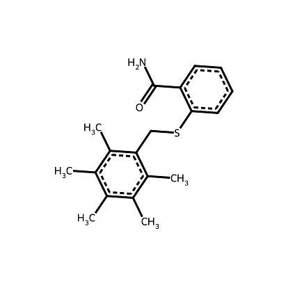 Cc1c(C)c(C)c(CSc2ccccc2C(N)=O)c(C)c1C